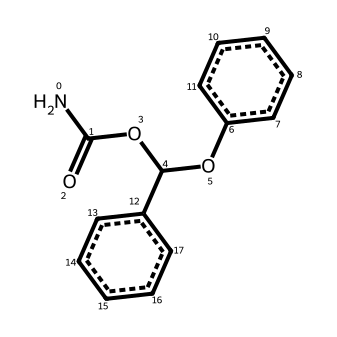 NC(=O)OC(Oc1ccccc1)c1ccccc1